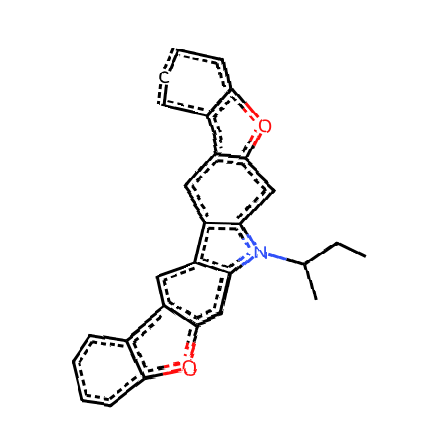 CCC(C)n1c2cc3oc4ccccc4c3cc2c2cc3c(cc21)oc1ccccc13